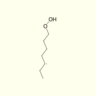 CC[CH]CCCCOO